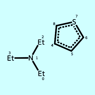 CCN(CC)CC.c1ccsc1